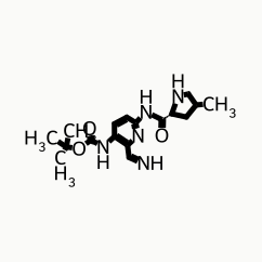 CC1CN[C@@H](C(=O)Nc2ccc(NC(=O)OC(C)(C)C)c(C=N)n2)C1